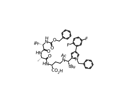 CC(=O)N(CC[C@H](NC(=O)[C@H](C)NC(=O)[C@@H](NC(=O)OCc1ccccc1)C(C)C)C(=O)O)[C@@H](c1cc(-c2cc(F)ccc2F)cn1Cc1ccccc1)C(C)(C)C